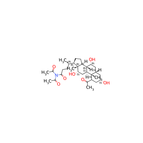 CC(=O)C1C[C@@H](O)C[C@H]2C[C@@H](O)[C@@H]3[C@H](C[C@H](O)[C@]4(C)[C@@H]([C@H](C)CCC(=O)N(C(C)=O)C(C)=O)CC[C@@H]34)[C@@]12C